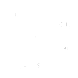 C/C=C(C)\C=C(\SF)C(C)CC